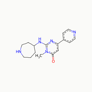 Cn1c(NC2CCCNCC2)nc(-c2ccncc2)cc1=O